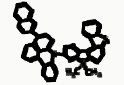 C[Si]1(C)c2cc(N(c3ccc(-c4ccc5ccccc5c4)cc3)c3ccccc3-c3ccccc3)ccc2-c2c1ccc1sc3ccccc3c21